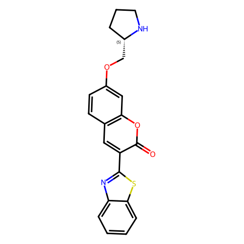 O=c1oc2cc(OC[C@@H]3CCCN3)ccc2cc1-c1nc2ccccc2s1